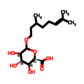 CC(C)=CCCC(C)CCOC1O[C@H](C(=O)O)[C@@H](O)[C@H](O)[C@H]1O